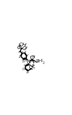 COC(=O)Cc1ccc(N(C(N)=O)c2ccccn2)cc1